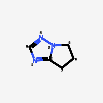 c1nc2n(n1)CCC2